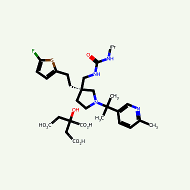 Cc1ccc(C(C)(C)N2CC[C@@](CCc3ccc(F)s3)(CNC(=O)NC(C)C)C2)cn1.O=C(O)CC(O)(CC(=O)O)C(=O)O